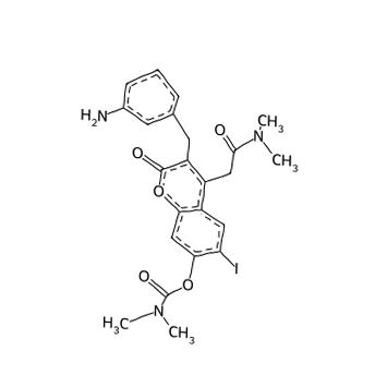 CN(C)C(=O)Cc1c(Cc2cccc(N)c2)c(=O)oc2cc(OC(=O)N(C)C)c(I)cc12